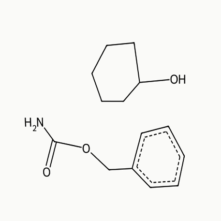 NC(=O)OCc1ccccc1.OC1CCCCC1